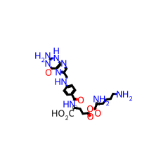 NCCCC[C@H](N)C(=O)OC(=O)CC[C@H](NC(=O)c1ccc(NCc2cnc3[nH]c(N)nc(=O)c3n2)cc1)C(=O)O